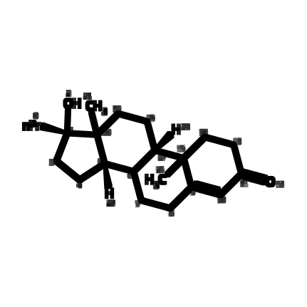 CCC[C@]1(O)CC[C@H]2C3CCC4=CC(=O)CCC4(C)[C@H]3CCC21C